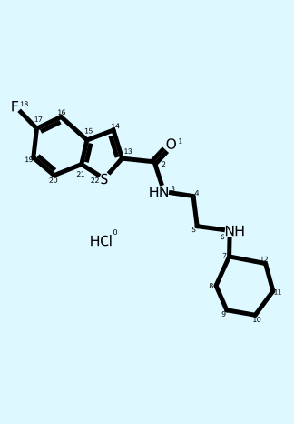 Cl.O=C(NCCNC1CCCCC1)c1cc2cc(F)ccc2s1